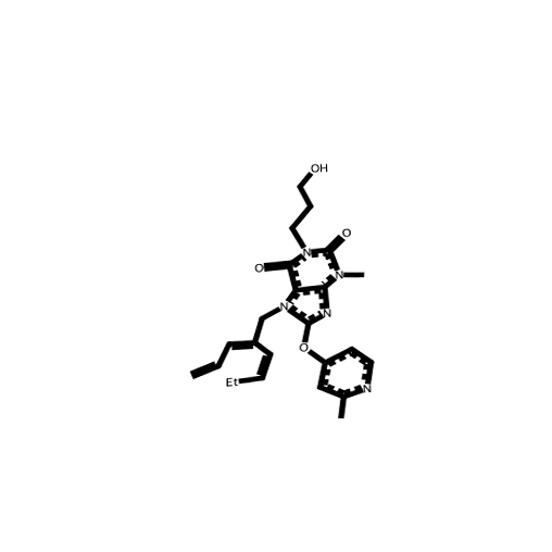 C=C/C=C(\C=C/CC)Cn1c(Oc2ccnc(C)c2)nc2c1c(=O)n(CCCO)c(=O)n2C